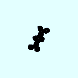 c1ccc(-n2c3ccccc3c3cc4c(cc32)c2cccc3c2n4c2cccc4c5cc6c(cc5n3c42)c2ccccc2n6-c2ccccc2)cc1